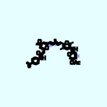 CC(=O)O[C@@H](C)/C=C\C(=O)N[C@@H]1C[C@H](C)[C@H](C/C=C(C)/C=C/[C@@H]2C[C@]3(CO3)C[C@@H](CC(=O)N[C@H]3CC[C@H](N(C)C)CC3)O2)O[C@@H]1C